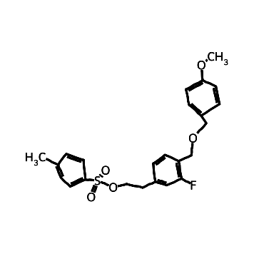 COc1ccc(COCc2ccc(CCOS(=O)(=O)c3ccc(C)cc3)cc2F)cc1